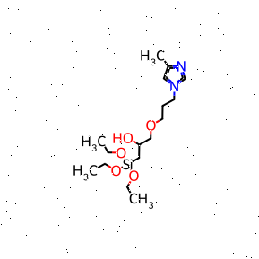 CCO[Si](CC(O)COCCCn1cnc(C)c1)(OCC)OCC